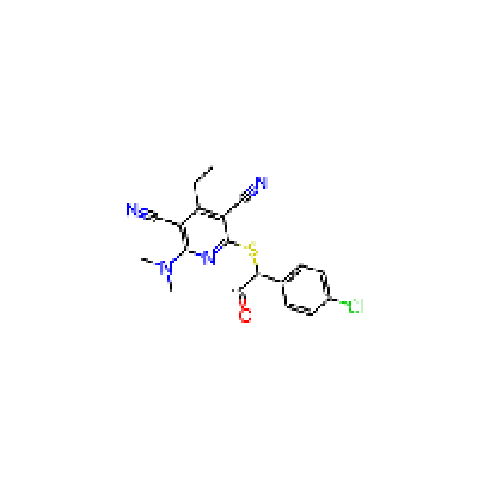 CCc1c(C#N)c(SC([C]=O)c2ccc(Cl)cc2)nc(N(C)C)c1C#N